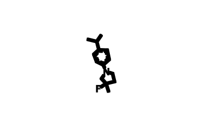 CC(C)c1ccc(N2CCC(C)(F)C2)cc1